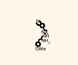 COc1ccc(C[C@H](N)CNc2nc(-c3ccc4cnccc4c3)cs2)cc1